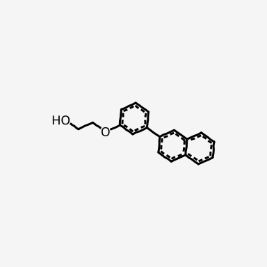 OCCOc1cccc(-c2ccc3ccccc3c2)c1